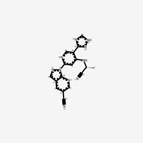 C[C@H](C#N)Nc1cc(-n2ncc3cc(C#N)cnc32)ncc1-c1nc[nH]n1